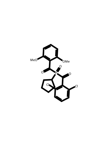 COc1cccc(OC)c1C(=O)P(=O)(C(=O)c1c(Cl)cccc1Cl)C1CCCC1